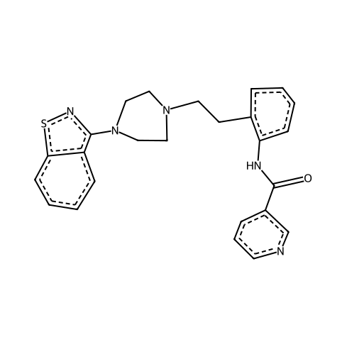 O=C(Nc1ccccc1CCN1CCN(c2nsc3ccccc23)CC1)c1cccnc1